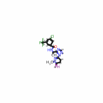 CC(NC(=O)c1cc(Cl)cc(C(F)(F)F)c1)c1ncnn1C1=NN(C)C(=P)CC1